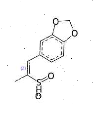 C/C(=C/c1ccc2c(c1)OCO2)[SH](=O)=O